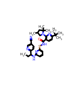 CCC(Nc1cccc(SNC(=O)c2ccc(C(C)(C)C)nc2N2CC(C)CC2(C)C)n1)c1ccc(C#N)cn1